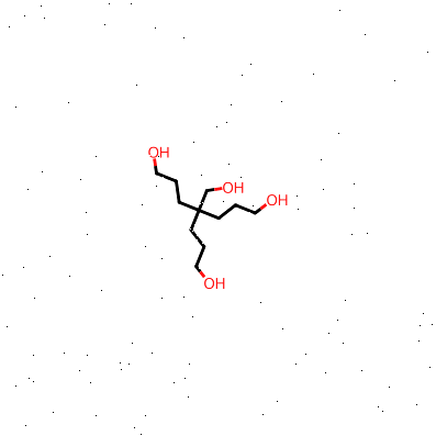 OCCCC(CO)(CCCO)CCCO